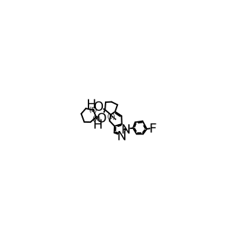 C[C@]12Cc3cnn(-c4ccc(F)cc4)c3C=C1CCCC21O[C@H]2CCCC[C@H]2O1